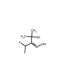 CCC(C)(C)/C(=N\O)C(F)F